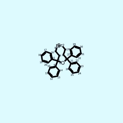 BrCCC(OC(CCBr)(c1ccccc1)c1ccccc1)(c1ccccc1)c1ccccc1